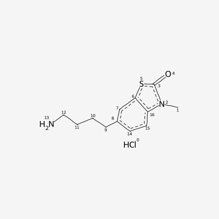 Cl.Cn1c(=O)sc2cc(CCCCN)ccc21